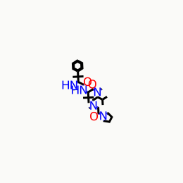 CNC(C(=O)NC(C(=O)N(C)C(CN(C)CC(=O)N1CCCC1)C(C)C)C(C)(C)C)C(C)(C)c1ccccc1